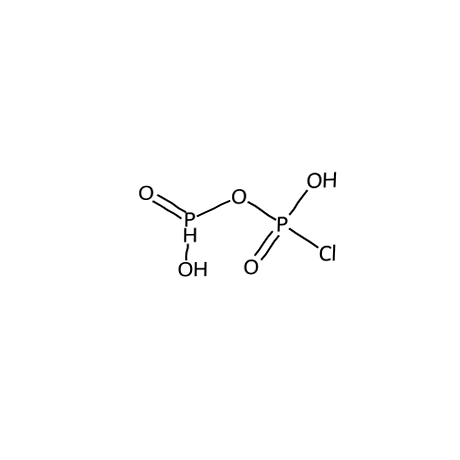 O=[PH](O)OP(=O)(O)Cl